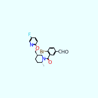 C[C@@H]1CC[C@@H](COc2ccc(F)cn2)CN1C(=O)c1cc(C=O)ccc1Br